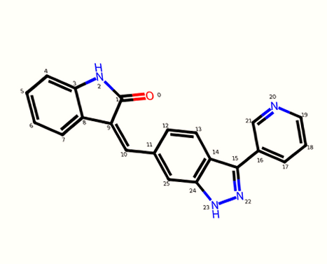 O=C1Nc2ccccc2C1=Cc1ccc2c(-c3cccnc3)n[nH]c2c1